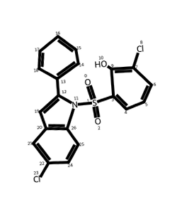 O=S(=O)(c1cccc(Cl)c1O)n1c(-c2ccccc2)cc2cc(Cl)ccc21